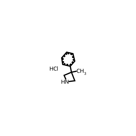 CC1(c2ccccc2)CNC1.Cl